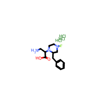 Cl.Cl.Cl.NCC(C(=O)O)N1CCN(F)CC1Cc1ccccc1